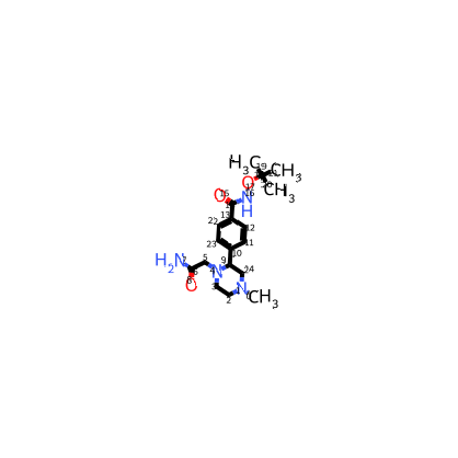 CN1CCN(CC(N)=O)C(c2ccc(C(=O)NOC(C)(C)C)cc2)C1